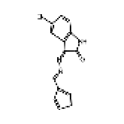 O=C1Nc2ccc(Cl)cc2/C1=N/N=C/C1=CCC=C1